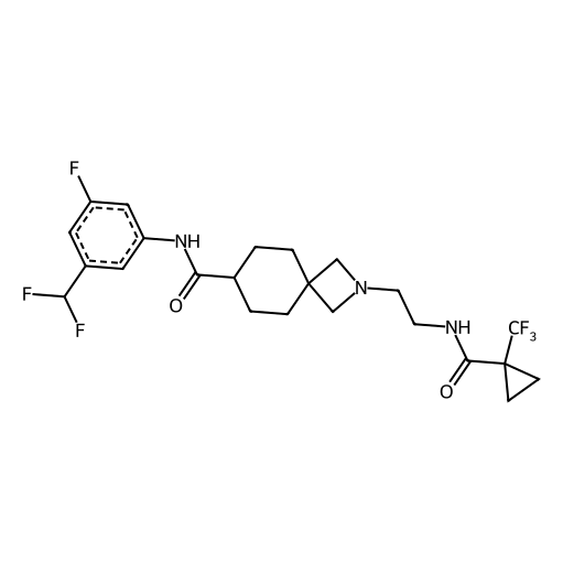 O=C(Nc1cc(F)cc(C(F)F)c1)C1CCC2(CC1)CN(CCNC(=O)C1(C(F)(F)F)CC1)C2